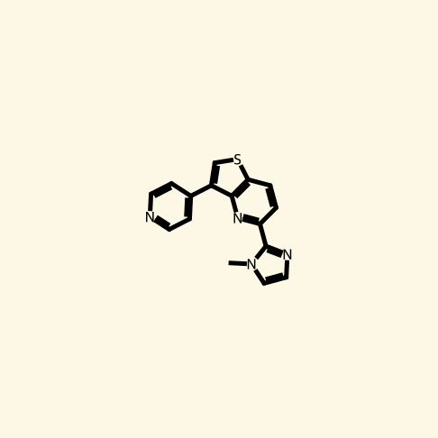 Cn1ccnc1-c1ccc2scc(-c3ccncc3)c2n1